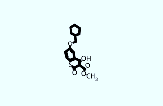 COC(=O)c1c(O)c2cc(OCC3CCCCC3)ccc2sc1=O